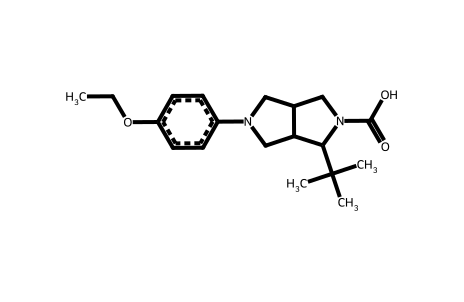 CCOc1ccc(N2CC3CN(C(=O)O)C(C(C)(C)C)C3C2)cc1